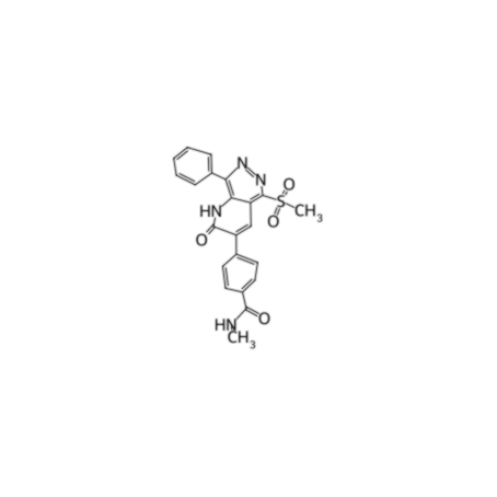 CNC(=O)c1ccc(-c2cc3c(S(C)(=O)=O)nnc(-c4ccccc4)c3[nH]c2=O)cc1